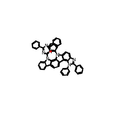 c1ccc(-c2nc(-c3ccccc3)nc(-n3c4ccccc4c4ccc5c6c7c(ccc6n(-c6ccccc6)c5c43)nc(-c3ccccc3)n7-c3ccccc3)n2)cc1